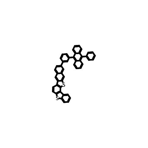 c1ccc(-c2c3ccccc3c(-c3cccc(-c4ccc5cc6c(cc5c4)sc4c6ccc5sc6ccccc6c54)c3)c3ccccc23)cc1